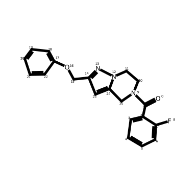 O=C(c1ccccc1F)N1CCn2nc(COc3ccccc3)cc2C1